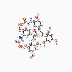 COc1cc(OC)c(/C=C/C(c2ccc(OC)c(NCC(=O)O)c2)S(=O)(=O)C(/C=C/c2c(OC)cc(OC)cc2OC)c2ccc(OC)c(NCC(=O)O)c2)c(OC)c1